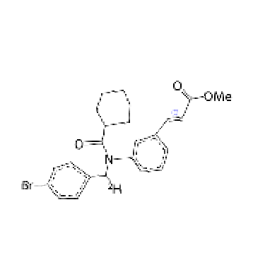 [2H]C(c1ccc(Br)cc1)N(C(=O)C1CCCCC1)c1cccc(/C=C/C(=O)OC)c1